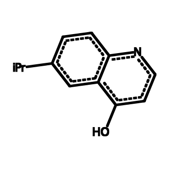 CC(C)c1ccc2nccc(O)c2c1